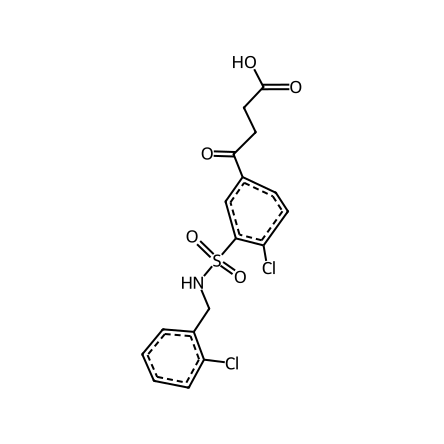 O=C(O)CCC(=O)c1ccc(Cl)c(S(=O)(=O)NCc2ccccc2Cl)c1